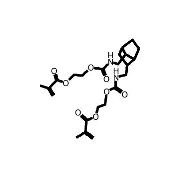 C=C(C)C(=O)OCCOC(=O)NCC1CC2CCC1C2CNC(=O)OCCOC(=O)C(=C)C